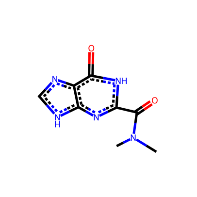 CN(C)C(=O)c1nc2[nH]cnc2c(=O)[nH]1